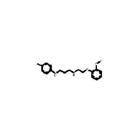 CCOc1ccccc1OCCNCCCNc1ccc(C)cc1